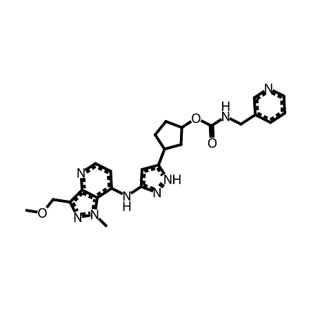 COCc1nn(C)c2c(Nc3cc(C4CCC(OC(=O)NCc5cccnc5)C4)[nH]n3)ccnc12